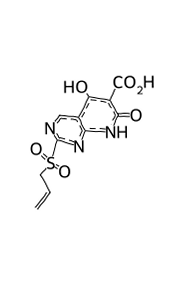 C=CCS(=O)(=O)c1ncc2c(O)c(C(=O)O)c(=O)[nH]c2n1